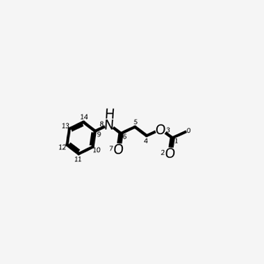 CC(=O)OCCC(=O)Nc1ccccc1